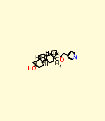 C[C@]12CC[C@@H]3[C@H]4CC[C@]5(O)CC5[C@H]4CC[C@H]3[C@@H]1CC[C@@H]2C(=O)Cc1ccncc1